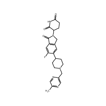 Cc1cnc(CN2CCC(c3cc4c(cc3F)C(=O)N(C3CCC(=O)NC3=O)C4)CC2)cn1